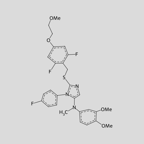 COCCOc1cc(F)c(CSc2ncc(N(C)c3ccc(OC)c(OC)c3)n2-c2ccc(F)cc2)c(F)c1